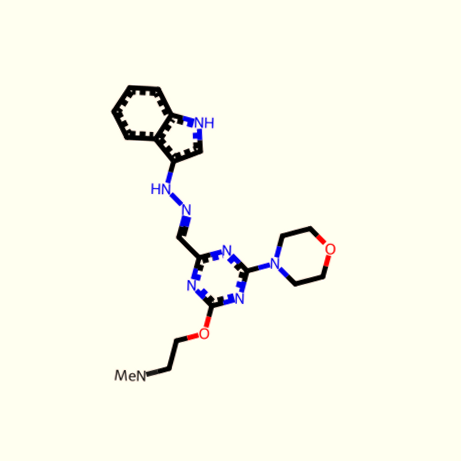 CNCCOc1nc(/C=N/Nc2c[nH]c3ccccc23)nc(N2CCOCC2)n1